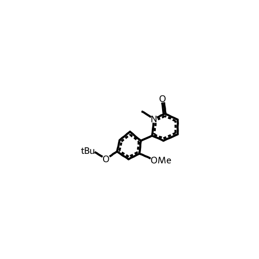 COc1cc(OC(C)(C)C)ccc1-c1cccc(=O)n1C